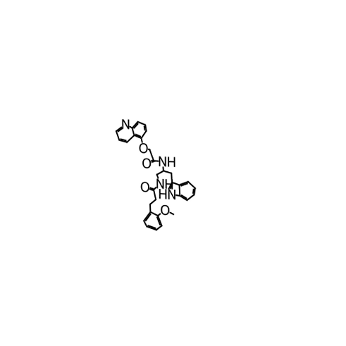 COc1ccccc1CCC(=O)NCC(Cc1c[nH]c2ccccc12)NC(=O)COc1cccc2ncccc12